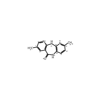 Cc1cnc2c(c1)C(=O)Nc1ccc(C)nc1N2